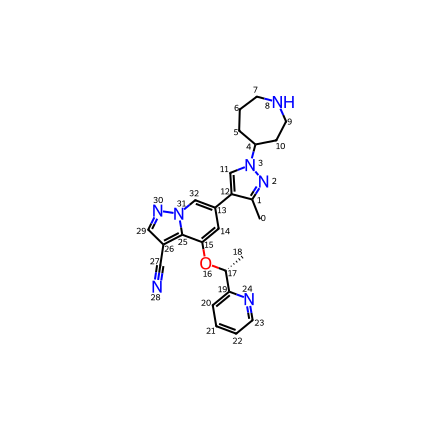 Cc1nn(C2CCCNCC2)cc1-c1cc(O[C@H](C)c2ccccn2)c2c(C#N)cnn2c1